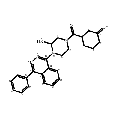 CC1CN(C(=O)C2CCCC(=O)C2)CCN1c1nnc(-c2ccccc2)c2ccccc12